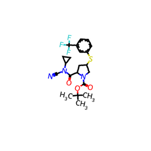 CC(C)(C)OC(=O)N1CC(Sc2cccc(C(F)(F)F)c2)CC1C(=O)N(C#N)C1CC1